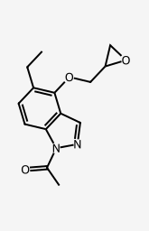 CCc1ccc2c(cnn2C(C)=O)c1OCC1CO1